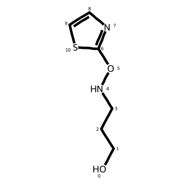 OCCCNOc1nccs1